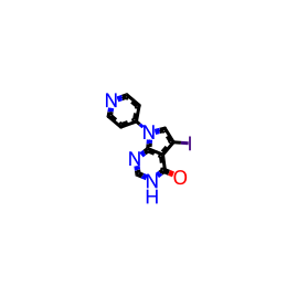 O=c1[nH]cnc2c1c(I)cn2-c1ccncc1